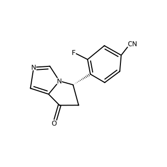 N#Cc1ccc([C@@H]2CC(=O)c3cncn32)c(F)c1